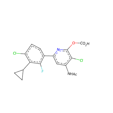 CC(=O)Nc1cc(-c2ccc(Cl)c(C3CC3)c2F)nc(OC(=O)O)c1Cl